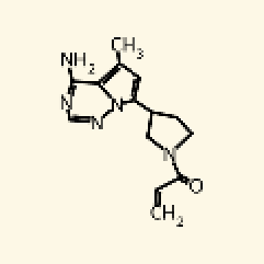 C=CC(=O)N1CCC(c2cc(C)c3c(N)ncnn23)C1